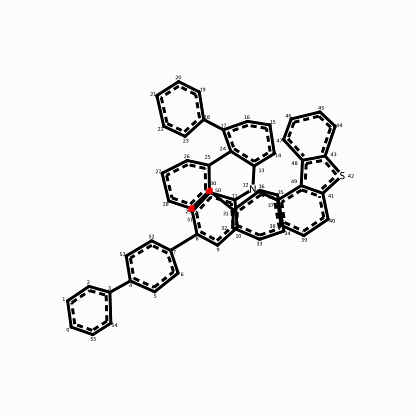 c1ccc(-c2ccc(-c3ccc(N(c4cccc(-c5ccccc5)c4-c4ccccc4-c4ccccc4)c4cccc5sc6ccccc6c45)cc3)cc2)cc1